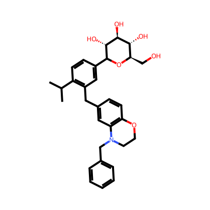 CC(C)c1ccc(C2O[C@H](CO)[C@@H](O)[C@H](O)[C@H]2O)cc1Cc1ccc2c(c1)N(Cc1ccccc1)CCO2